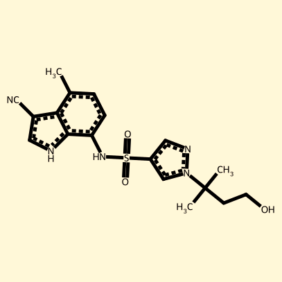 Cc1ccc(NS(=O)(=O)c2cnn(C(C)(C)CCO)c2)c2[nH]cc(C#N)c12